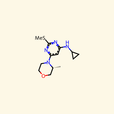 CSc1nc(NC2CC2)cc(N2CCOC[C@H]2C)n1